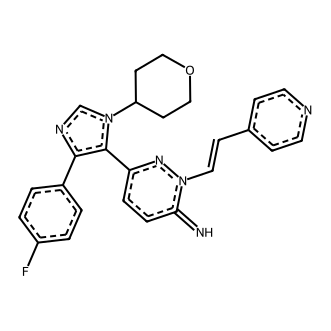 N=c1ccc(-c2c(-c3ccc(F)cc3)ncn2C2CCOCC2)nn1/C=C/c1ccncc1